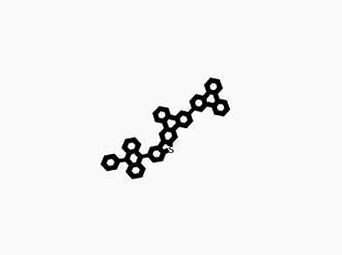 c1ccc(-c2c3ccccc3c(-c3ccc4sc5cc6c7ccc(-c8ccc9c%10ccccc%10c%10ccccc%10c9c8)cc7c7ccccc7c6cc5c4c3)c3ccccc23)cc1